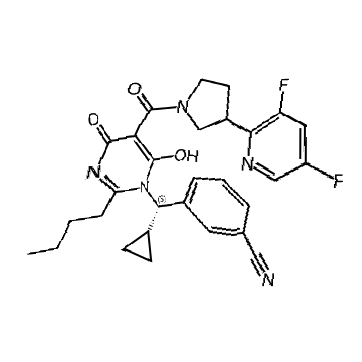 CCCCc1nc(=O)c(C(=O)N2CCC(c3ncc(F)cc3F)C2)c(O)n1[C@H](c1cccc(C#N)c1)C1CC1